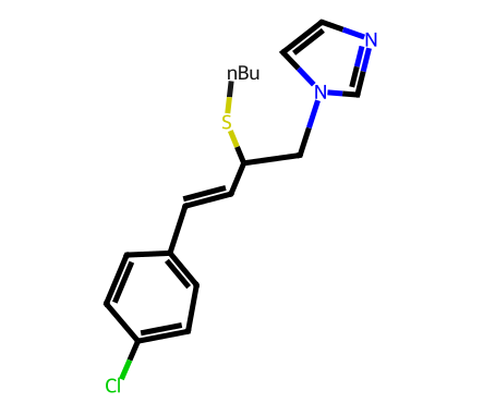 CCCCSC(C=Cc1ccc(Cl)cc1)Cn1ccnc1